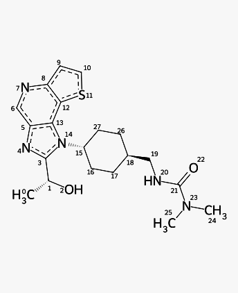 C[C@@H](O)c1nc2cnc3ccsc3c2n1[C@H]1CC[C@H](CNC(=O)N(C)C)CC1